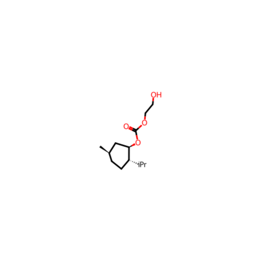 CC(C)[C@@H]1CC[C@@H](C)C[C@H]1OC(=O)OCCO